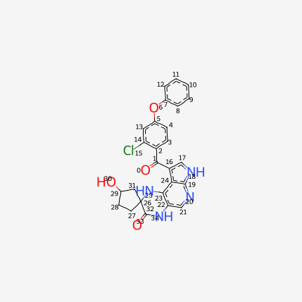 O=C(c1ccc(Oc2ccccc2)cc1Cl)c1c[nH]c2ncc3c(c12)NC1(CCC(O)C1)C(=O)N3